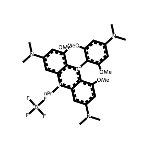 CCCn1c2cc(N(C)C)cc(OC)c2[c+](-c2c(OC)cc(N(C)C)cc2OC)c2c(OC)cc(N(C)C)cc21.F[B-](F)(F)F